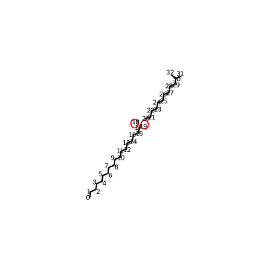 CCCCCCCCCCCCCCCCCC(=O)OCCCCCCCCCCC(C)C